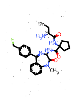 CC(C)C[C@H](N)C(=O)NC1(C(=O)NC2N=C(c3ccc(CF)cc3)c3ccccc3N(C)C2=O)CCCC1